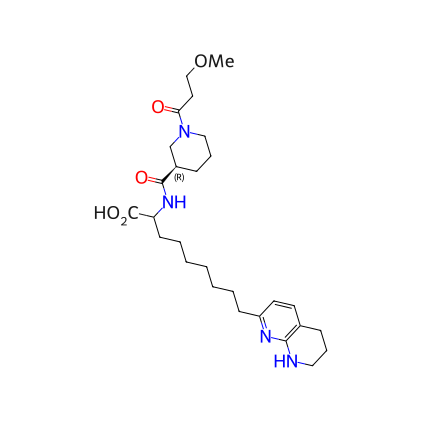 COCCC(=O)N1CCC[C@@H](C(=O)NC(CCCCCCCc2ccc3c(n2)NCCC3)C(=O)O)C1